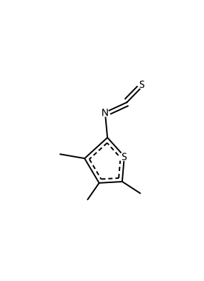 Cc1sc(N=C=S)c(C)c1C